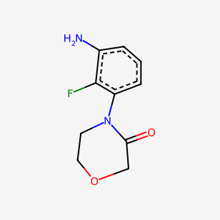 Nc1cccc(N2CCOCC2=O)c1F